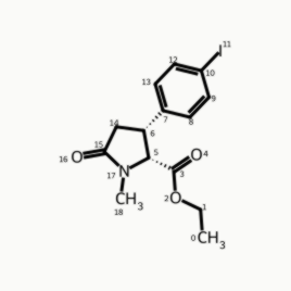 CCOC(=O)[C@H]1[C@@H](c2ccc(I)cc2)CC(=O)N1C